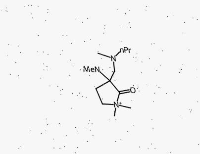 CCCN(C)CC1(NC)CC[N+](C)(C)C1=O